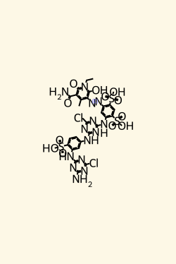 CCn1c(O)c(/N=N/c2cc(Nc3nc(Cl)nc(Nc4ccc(S(=O)(=O)O)c(Nc5nc(N)nc(Cl)n5)c4)n3)c(S(=O)(=O)O)cc2S(=O)(=O)O)c(C)c(C(N)=O)c1=O